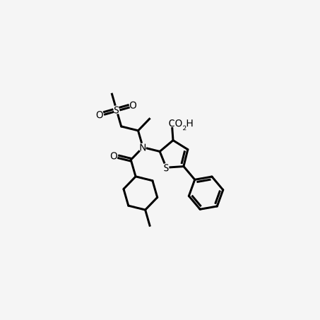 CC1CCC(C(=O)N(C(C)CS(C)(=O)=O)C2SC(c3ccccc3)=CC2C(=O)O)CC1